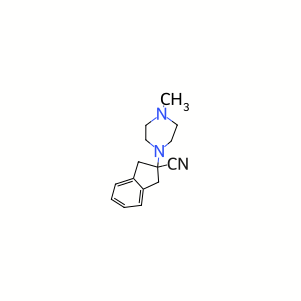 CN1CCN(C2(C#N)Cc3ccccc3C2)CC1